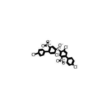 O=[N+]([O-])c1cc([S+]([O-])c2cc([N+](=O)[O-])c(-c3ccc(Cl)cc3)cc2Cl)c(Cl)cc1-c1ccc(Cl)cc1